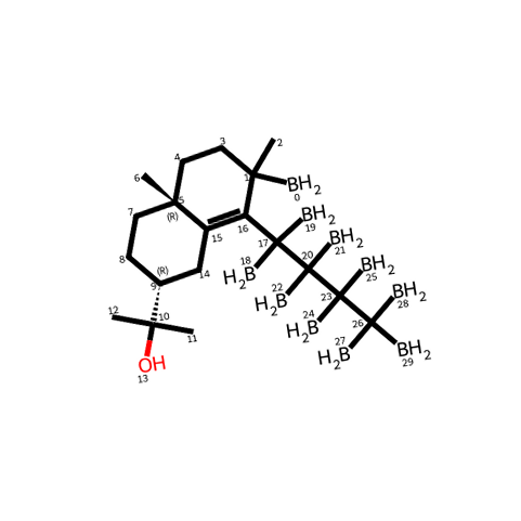 BC1(C)CC[C@@]2(C)CC[C@@H](C(C)(C)O)CC2=C1C(B)(B)C(B)(B)C(B)(B)C(B)(B)B